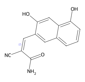 N#C/C(=C/c1cc2cccc(O)c2cc1O)C(N)=O